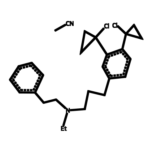 CC#N.CCN(CCCc1ccc(C2(Cl)CC2)c(C2(Cl)CC2)c1)CCc1ccccc1